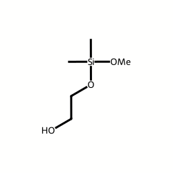 CO[Si](C)(C)OCCO